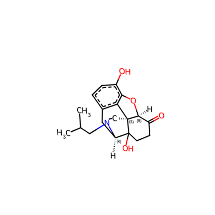 CC(C)CN1CC[C@]23c4c5ccc(O)c4O[C@H]2C(=O)CCC3(O)[C@H]1C5